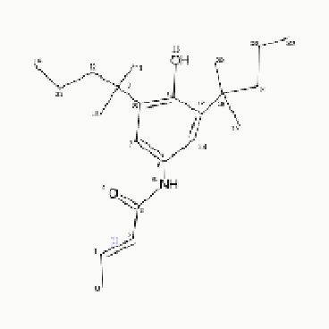 C/C=C/C(=O)Nc1cc(C(C)(C)CCC)c(O)c(C(C)(C)CCC)c1